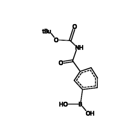 CC(C)(C)OC(=O)NC(=O)c1cccc(B(O)O)c1